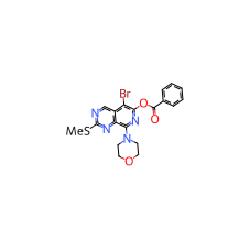 CSc1ncc2c(Br)c(OC(=O)c3ccccc3)nc(N3CCOCC3)c2n1